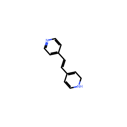 C1=CC(/C=C/c2ccncc2)=CCN1